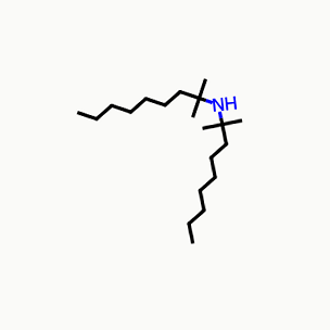 CCCCCCCC(C)(C)NC(C)(C)CCCCCCC